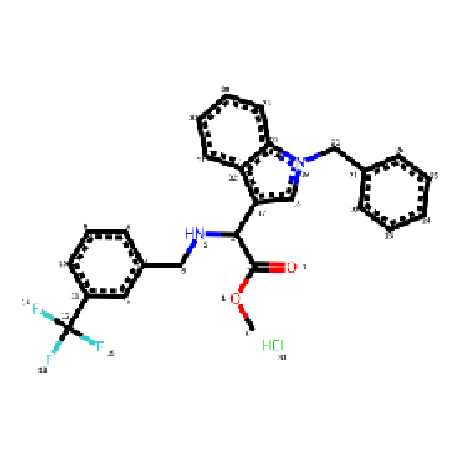 COC(=O)C(NCc1cccc(C(F)(F)F)c1)c1cn(Cc2ccccc2)c2ccccc12.Cl